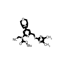 Cc1nc(SCc2cc(N3C4CCC3COC4)cc(N(CC#N)C(=O)OC(C)(C)C)n2)sc1C